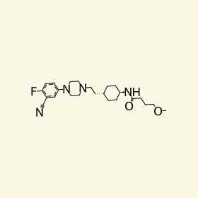 COCCCC(=O)N[C@H]1CC[C@H](CCN2CCN(c3ccc(F)c(C#N)c3)CC2)CC1